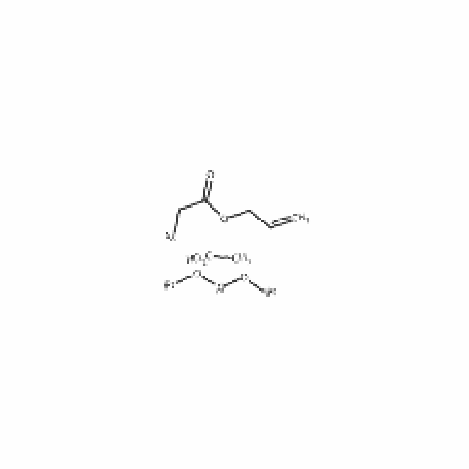 C=CCOC(=O)CC(C)=O.CC(=O)O.CC(C)[O][Al][O]C(C)C